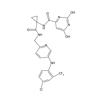 O=C(NC1(C(=O)NCc2ccc(Nc3ccc(Cl)cc3C(F)(F)F)cn2)CC1)c1cc(O)nc(O)n1